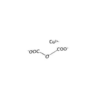 O=C([O-])OC(=O)[O-].[Cu+2]